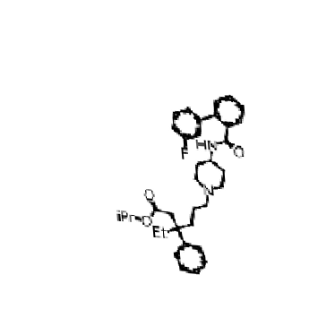 CCC(CCCN1CCC(NC(=O)c2ccccc2-c2cccc(F)c2)CC1)(CC(=O)OC(C)C)c1ccccc1